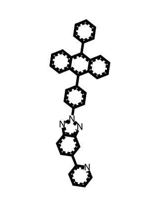 c1ccc(-c2c3ccccc3c(-c3ccc(-n4nc5ccc(-c6ccccn6)cc5n4)cc3)c3ccccc23)cc1